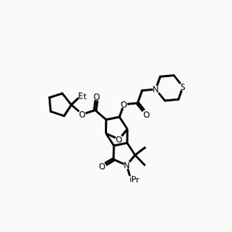 CCC1(OC(=O)C2C(OC(=O)CN3CCSCC3)C3OC2C2C(=O)N(C(C)C)C(C)(C)C32)CCCC1